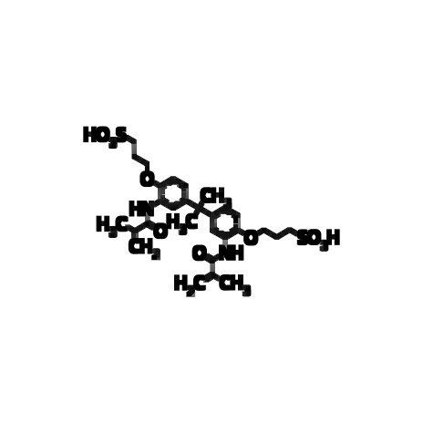 C=C(C)C(=O)Nc1cc(C(C)(C)c2ccc(OCCCS(=O)(=O)O)c(NC(=O)C(=C)C)c2)ccc1OCCCS(=O)(=O)O